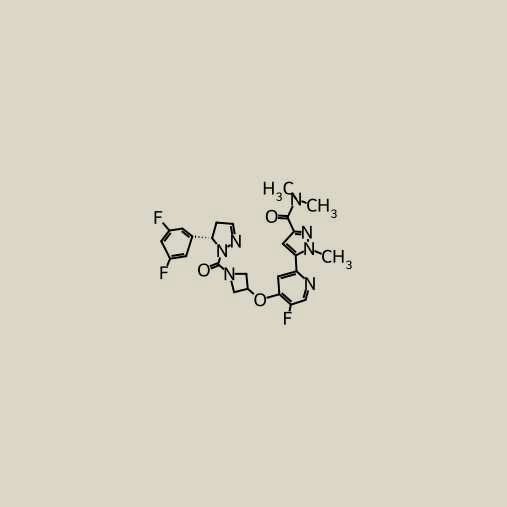 CN(C)C(=O)c1cc(-c2cc(OC3CN(C(=O)N4N=CC[C@H]4c4cc(F)cc(F)c4)C3)c(F)cn2)n(C)n1